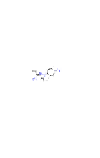 CN1C[C@@H]2C[C@H]1CN2c1ccc(N)cc1